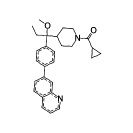 CCC(OC)(c1ccc(-c2ccc3cccnc3c2)cc1)C1CCN(C(=O)C2CC2)CC1